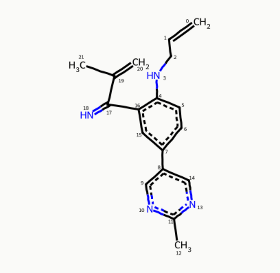 C=CCNc1ccc(-c2cnc(C)nc2)cc1C(=N)C(=C)C